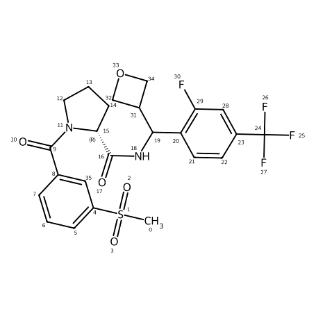 CS(=O)(=O)c1cccc(C(=O)N2CCC[C@@H]2C(=O)NC(c2ccc(C(F)(F)F)cc2F)C2COC2)c1